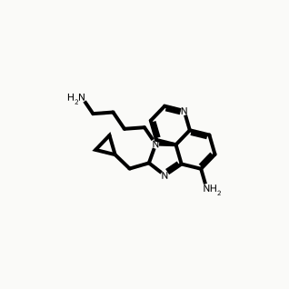 NCCCCN1C(CC2CC2)N=C2C(N)=CC=C3N=CC=CC321